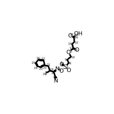 N#CC(=NOS(=O)(=O)CCCOC(=O)CCC(=O)O)C(I)Cc1ccccc1